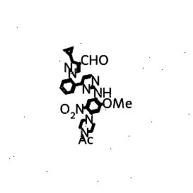 COc1cc(N2CCN(C(C)=O)CC2)c([N+](=O)[O-])cc1Nc1nccc(-c2ccccc2-n2cc(C=O)c(C3CC3)n2)n1